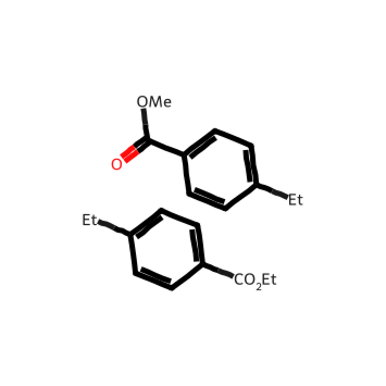 CCOC(=O)c1ccc(CC)cc1.CCc1ccc(C(=O)OC)cc1